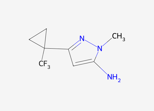 Cn1nc(C2(C(F)(F)F)CC2)cc1N